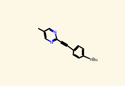 CCCCc1ccc(C#Cc2ncc(C)cn2)cc1